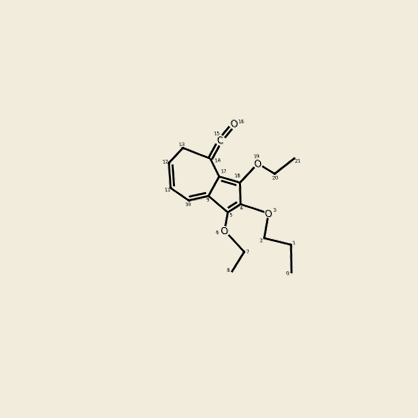 CCCOC1=C(OCC)C2=CC=CCC(=C=O)C2=C1OCC